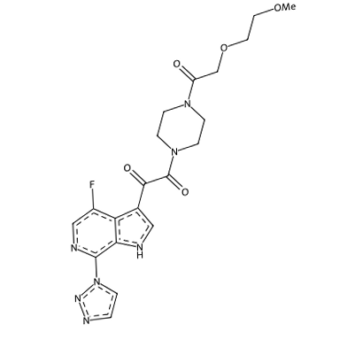 COCCOCC(=O)N1CCN(C(=O)C(=O)c2c[nH]c3c(-n4ccnn4)ncc(F)c23)CC1